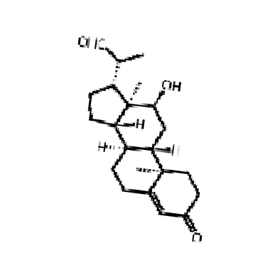 CC(C=O)[C@H]1CC[C@H]2[C@@H]3CCC4=CC(=O)CC[C@]4(C)[C@H]3C[C@H](O)[C@]12C